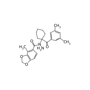 Cc1cc(C)cc(C(=O)C2(N(N)C(=O)c3ccc4c(c3C)OCO4)CCCCC2)c1